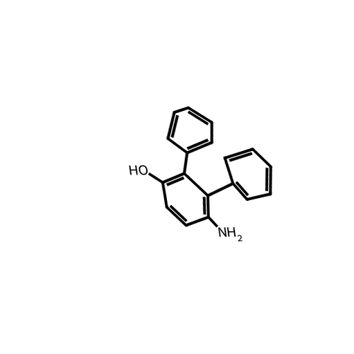 Nc1ccc(O)c(-c2ccccc2)c1-c1ccccc1